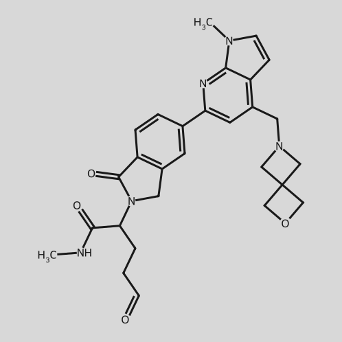 CNC(=O)C(CCC=O)N1Cc2cc(-c3cc(CN4CC5(COC5)C4)c4ccn(C)c4n3)ccc2C1=O